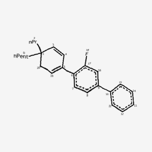 CCCCCC1(CCC)C=CC(c2ccc(-c3ccccc3)cc2F)=CC1